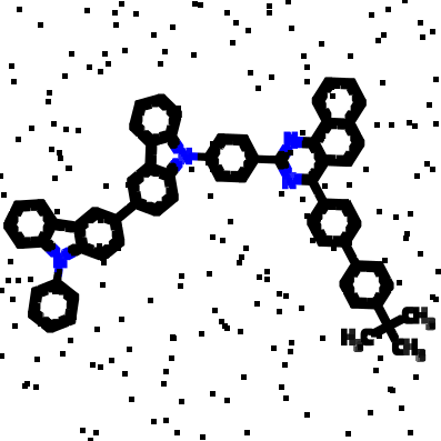 CC(C)(C)c1ccc(-c2ccc(-c3nc(-c4ccc(-n5c6ccccc6c6cc(-c7ccc8c(c7)c7ccccc7n8-c7ccccc7)ccc65)cc4)nc4c3ccc3ccccc34)cc2)cc1